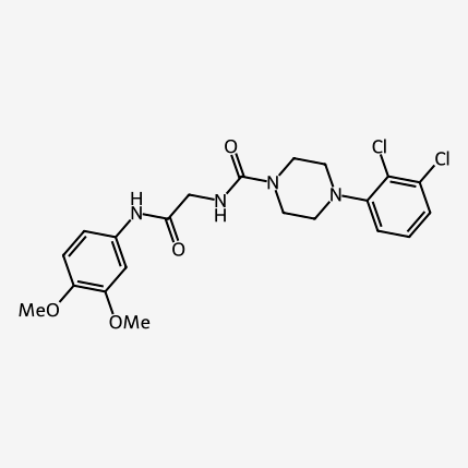 COc1ccc(NC(=O)CNC(=O)N2CCN(c3cccc(Cl)c3Cl)CC2)cc1OC